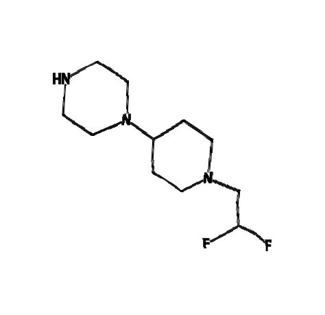 FC(F)CN1CCC(N2CCNCC2)CC1